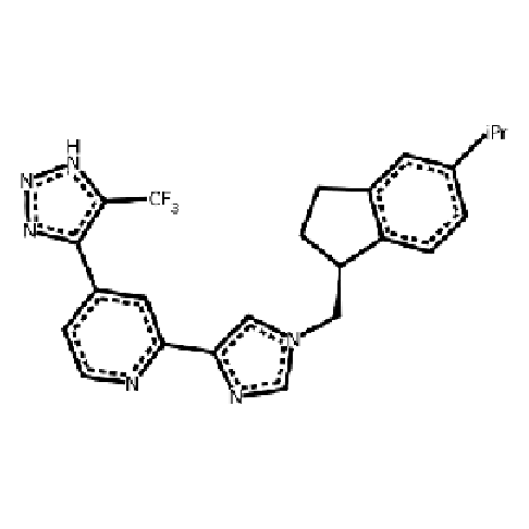 CC(C)c1ccc2c(c1)CC[C@@H]2Cn1cnc(-c2cc(-c3nn[nH]c3C(F)(F)F)ccn2)c1